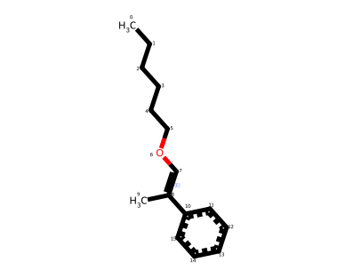 CCCCCCO/C=C(\C)c1ccccc1